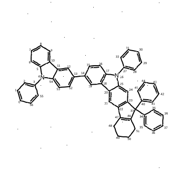 c1ccc(-n2c3ccccc3c3cc(-c4ccc5c(c4)c4cc6c(cc4n5-c4ccccc4)C(c4ccccc4)(c4ccccc4)C4=C6CCCC4)ccc32)cc1